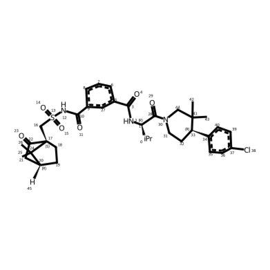 CC(C)[C@@H](NC(=O)c1cccc(C(=O)NS(=O)(=O)C[C@]23CC[C@H](CC2=O)C3(C)C)c1)C(=O)N1CC[C@H](c2ccc(Cl)cc2)C(C)(C)C1